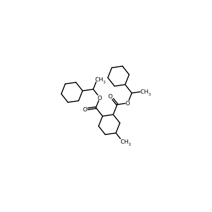 CC1CCC(C(=O)OC(C)C2CCCCC2)C(C(=O)OC(C)C2CCCCC2)C1